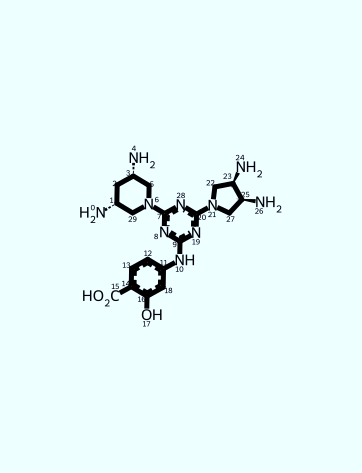 N[C@@H]1C[C@H](N)CN(c2nc(Nc3ccc(C(=O)O)c(O)c3)nc(N3C[C@@H](N)[C@@H](N)C3)n2)C1